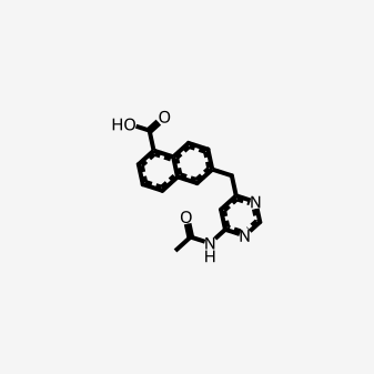 CC(=O)Nc1cc(Cc2ccc3c(C(=O)O)cccc3c2)ncn1